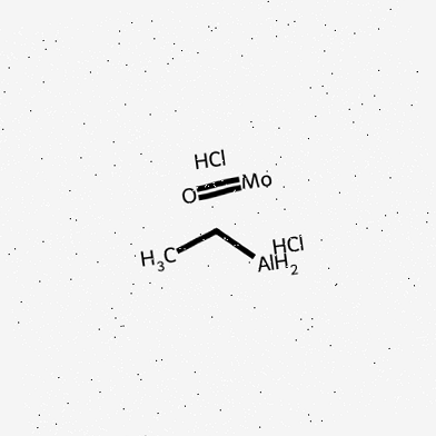 C[CH2][AlH2].Cl.Cl.[O]=[Mo]